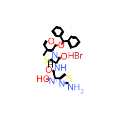 Br.C=CC1=C(C(=O)OC(c2ccccc2)c2ccccc2)N2C(=O)C(NC(=O)/C(=N\O)c3csc(N)n3)[C@H]2SC1